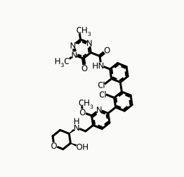 COc1nc(-c2cccc(-c3cccc(NC(=O)c4nc(C)nn(C)c4=O)c3Cl)c2Cl)ccc1CN[C@@H]1CCOC[C@@H]1O